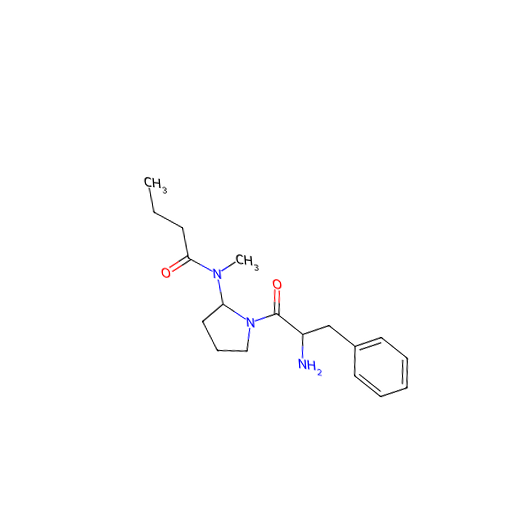 CCCC(=O)N(C)C1CCCN1C(=O)C(N)Cc1ccccc1